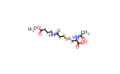 COC(=O)CCCNC(=O)CCSSCC(NC(C)=O)C(=O)O